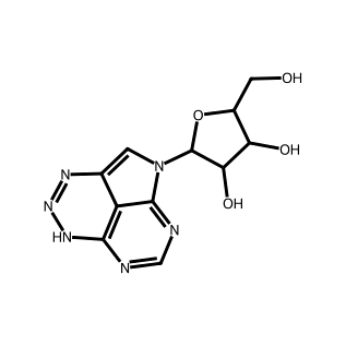 OCC1OC(n2cc3c4c(ncnc42)NN=N3)C(O)C1O